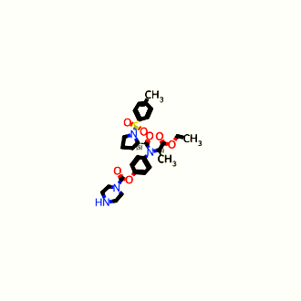 CCOC(=O)[C@H](C)N(C(=O)[C@@H]1CCCN1S(=O)(=O)c1ccc(C)cc1)c1ccc(OC(=O)N2CCNCC2)cc1